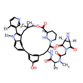 CCc1ccncc1-c1c2c3cc(ccc3n1CC)-c1cc(O)cc(c1)C[C@H](NC(=O)[C@H](C(C)C)N(C)C(=O)CN1C(=O)[C@H]3N[C@H]3C1=O)C(=O)N1CCC[C@H](N1)C(=O)OCC(C)(C)C2